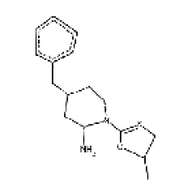 CC1CN=C(N2CCC(Cc3ccccc3)CC2N)O1